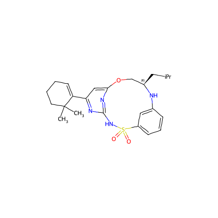 CC(C)C[C@@H]1COc2cc(C3=CCCCC3(C)C)nc(n2)NS(=O)(=O)c2cccc(c2)N1